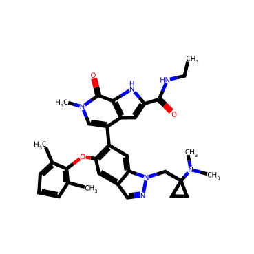 CCNC(=O)c1cc2c(-c3cc4c(cnn4CC4(N(C)C)CC4)cc3Oc3c(C)cccc3C)cn(C)c(=O)c2[nH]1